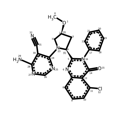 CO[C@H]1C[C@@H](c2nc3cccc(Cl)c3c(=O)n2-c2ccccc2)N(c2ncnc(N)c2C#N)C1